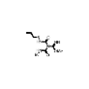 C=CCSNC(=O)N(C(=N)OC)C(=O)NCC